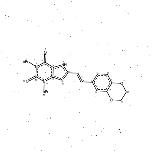 CCCn1c(=O)c2[nH]c(/C=C/c3ccc4c(c3)OCCO4)nc2n(CCC)c1=O